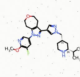 COc1ncc(-n2nc(-c3cnn(C[C@H]4CCN[C@@H](C(C)C)C4)c3)c3c2CCOCC3)cc1F